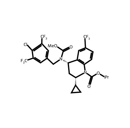 COC(=O)N(Cc1cc(C(F)(F)F)c(Cl)c(C(F)(F)F)c1)[C@H]1C[C@@H](C2CC2)N(C(=O)OC(C)C)c2ccc(C(F)(F)F)cc21